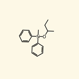 CCC(C)O[Si](C)(c1ccccc1)c1ccccc1